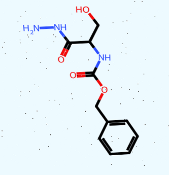 NNC(=O)C(CO)NC(=O)OCc1ccccc1